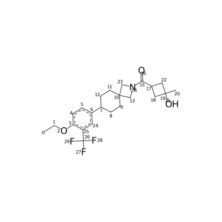 CCOc1ccc(C2CCC3(CC2)CN(C(=O)C2CC(C)(O)C2)C3)cc1C(F)(F)F